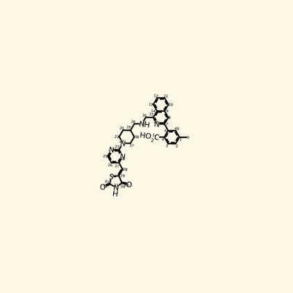 Cc1ccc(C(=O)O)c(-c2cc3ccccc3c(CNCC3CCN(c4nccc(/C=C5\SC(=O)NC5=O)n4)CC3)n2)c1